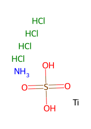 Cl.Cl.Cl.Cl.N.O=S(=O)(O)O.[Ti]